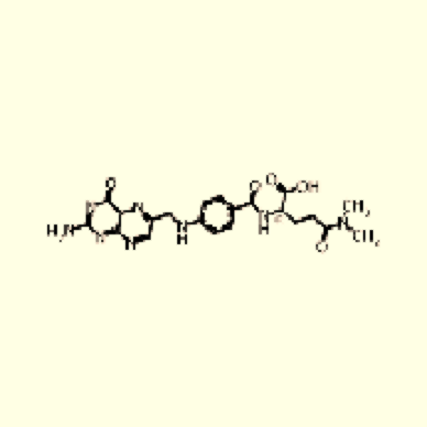 CN(C)C(=O)CC[C@@H](NC(=O)c1ccc(NCC2=NC3C(=O)N=C(N)N=C3N=C2)cc1)C(=O)O